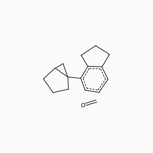 C=O.c1cc2c(c(C34CCCC3C4)c1)CCC2